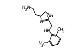 Cc1cccc(C)c1NCC1=NC(CCN)CN1